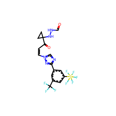 O=CNNC1(C(=O)/C=C\n2cnc(-c3cc(C(F)(F)F)cc(S(F)(F)(F)(F)F)c3)n2)CC1